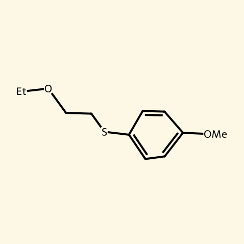 CCOCCSc1ccc(OC)cc1